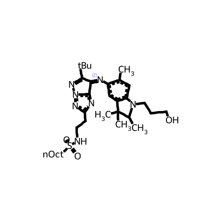 CCCCCCCCS(=O)(=O)NCCc1nc2n(n1)N=C(C(C)(C)C)/C2=N/c1cc2c(cc1C)N(CCCO)C(C)C2(C)C